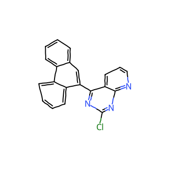 Clc1nc(-c2cc3ccccc3c3ccccc23)c2cccnc2n1